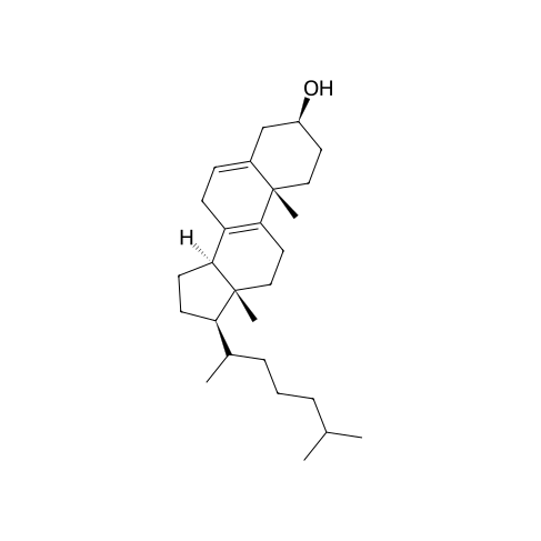 CC(C)CCCC(C)[C@H]1CC[C@H]2C3=C(CC[C@]12C)[C@@]1(C)CC[C@H](O)CC1=CC3